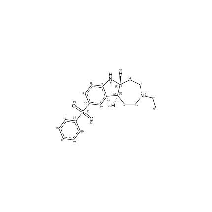 CCN1CC[C@H]2Nc3ccc(S(=O)(=O)c4ccccc4)cc3[C@@H]2CC1